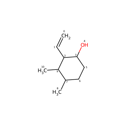 C=CC1C(O)CCC(C)C1C